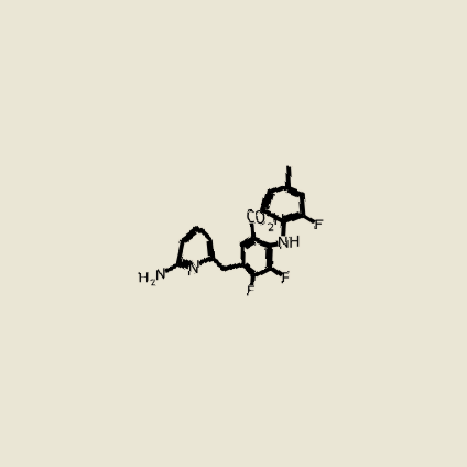 Cc1ccc(Nc2c(C(=O)O)cc(Cc3cccc(N)n3)c(F)c2F)c(F)c1